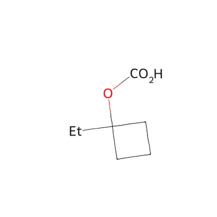 CCC1(OC(=O)O)CCC1